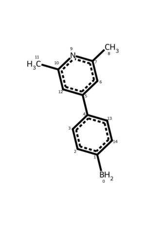 Bc1ccc(-c2cc(C)nc(C)c2)cc1